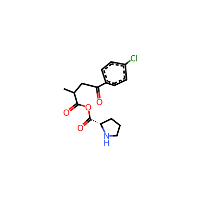 CC(CC(=O)c1ccc(Cl)cc1)C(=O)OC(=O)[C@@H]1CCCN1